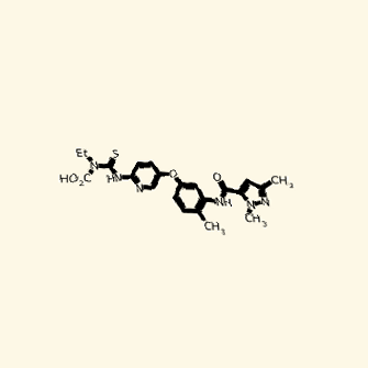 CCN(C(=O)O)C(=S)Nc1ccc(Oc2ccc(C)c(NC(=O)c3cc(C)nn3C)c2)cn1